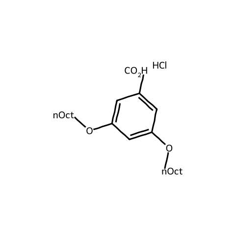 CCCCCCCCOc1cc(OCCCCCCCC)cc(C(=O)O)c1.Cl